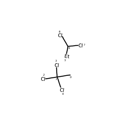 CC(Cl)(Cl)Cl.CCC(Cl)Cl